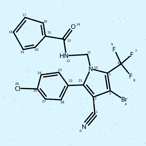 N#Cc1c(Br)c(C(F)(F)F)n(CNC(=O)c2ccccc2)c1-c1ccc(Cl)cc1